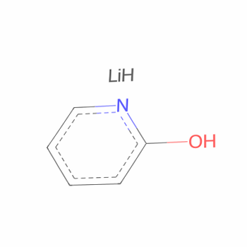 Oc1ccccn1.[LiH]